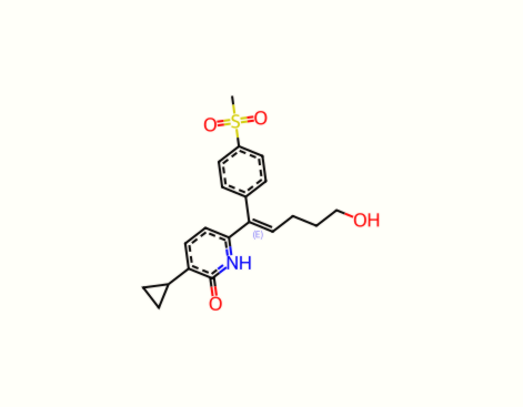 CS(=O)(=O)c1ccc(/C(=C\CCCO)c2ccc(C3CC3)c(=O)[nH]2)cc1